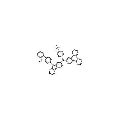 CC(C)(C)c1ccc(N(c2ccc3c4ccccc4c4ccccc4c3c2)c2ccc3c4ccccc4n(-c4ccc5c(c4)C(C)(C)c4ccccc4-5)c3c2)cc1